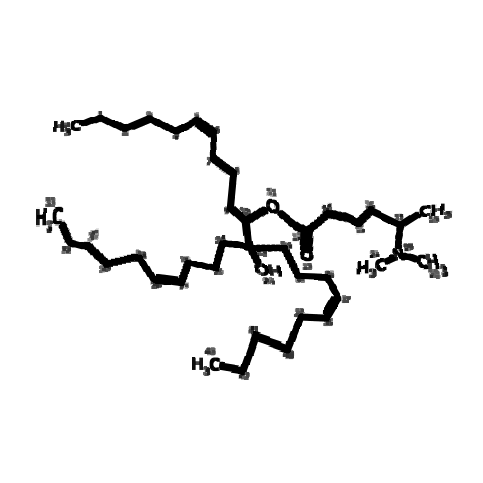 CCCCC/C=C\CCCC(OC(=O)CCCC(C)N(C)C)C(O)(CCC/C=C\CCCCC)CCC/C=C\CCCCC